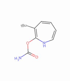 CC(C)(C)C1=C(OC(N)=O)NC=CC=C1